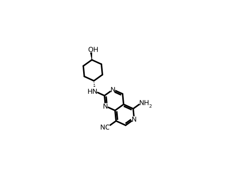 N#Cc1cnc(N)c2cnc(N[C@H]3CC[C@H](O)CC3)nc12